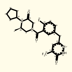 C[C@@H]1CN(C(=O)c2cc(Cc3cc(C(F)(F)F)c(=O)[nH]n3)ccc2F)CC(=O)N1C1CCCC1